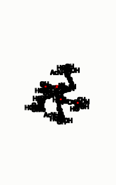 COP(=O)(O)OC[C@H]1OCC[C@@H]1OP(=O)(O)OCCCCCCNC(=O)[C@H](CCCCN(Cc1cn(CCOCCO[C@@H]2O[C@H](CO)[C@H](O)[C@H](O)[C@H]2NC(C)=O)nn1)Cc1cn(CCOCCO[C@@H]2O[C@H](CO)[C@H](O)[C@H](O)[C@H]2NC(C)=O)nn1)N(Cc1cn(CCOCCO[C@@H]2O[C@H](CO)[C@H](O)[C@H](O)[C@H]2C)nn1)Cc1cn(CCOCCO[C@@H]2O[C@H](CO)[C@H](O)[C@H](O)[C@H]2NC(C)=O)nn1